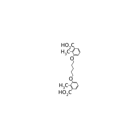 Cc1c(OCCCCCOc2cccc(C(=O)O)c2C)cccc1C(=O)O